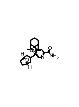 COC1(c2ccnc(C(N)=O)c2)C2CCCC1CN(CC1C[C@@H]3CC[C@@H](C1)O3)C2